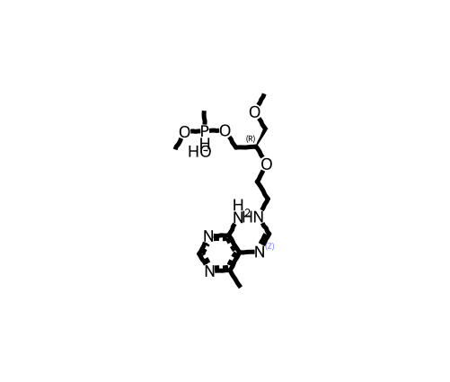 COC[C@H](CO[PH](C)(O)OC)OCCN/C=N\c1c(C)ncnc1N